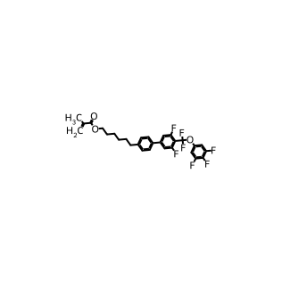 C=C(C)C(=O)OCCCCCCc1ccc(-c2cc(F)c(C(F)(F)Oc3cc(F)c(F)c(F)c3)c(F)c2)cc1